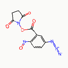 [N-]=[N+]=Nc1ccc(N=O)c(C(=O)ON2C(=O)CCC2=O)c1